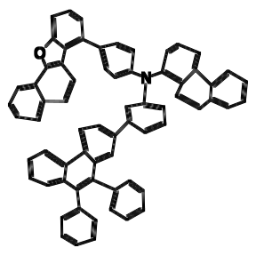 c1ccc(-c2c(-c3ccccc3)c3cc(-c4cccc(N(c5ccc(-c6cccc7oc8c9ccccc9ccc8c67)cc5)c5cccc6c5ccc5ccccc56)c4)ccc3c3ccccc23)cc1